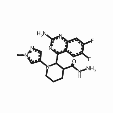 Cn1cc(N2CCCC(C(=O)NN)C2c2nc(N)nc3cc(F)c(F)cc23)cn1